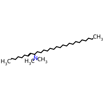 CCCCCCC=CC(CCCCCCCCCCCCCCCCCCC)N(C)C